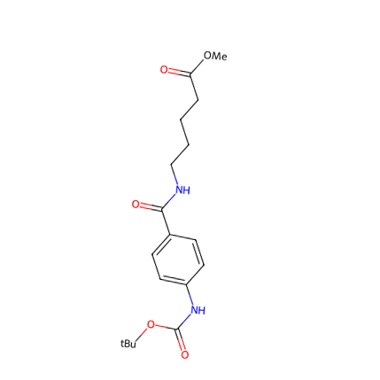 COC(=O)CCCCNC(=O)c1ccc(NC(=O)OC(C)(C)C)cc1